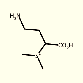 C[S+](C)C(CCN)C(=O)O